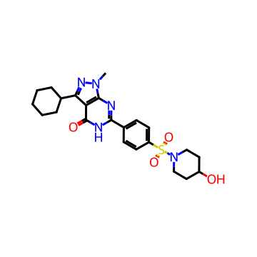 Cn1nc(C2CCCCC2)c2c(=O)[nH]c(-c3ccc(S(=O)(=O)N4CCC(O)CC4)cc3)nc21